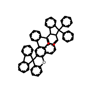 C1=CC2C(C(c3ccccc3-c3cc4c(c5ccccc35)Oc3ccccc3C43c4ccccc4-c4ccccc43)=C1)c1ccccc1C2(c1ccccc1)c1ccccc1